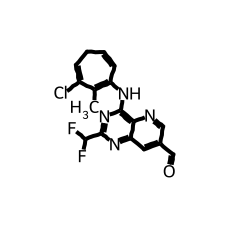 CC1=C(Nc2nc(C(F)F)nc3cc(C=O)cnc23)C=CCC=C1Cl